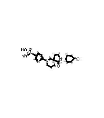 CCCN(C(=O)O)c1ccc(N2CCC[C@]3(CCN([C@H]4CC[C@H](O)CC4)C3=O)C2)nc1